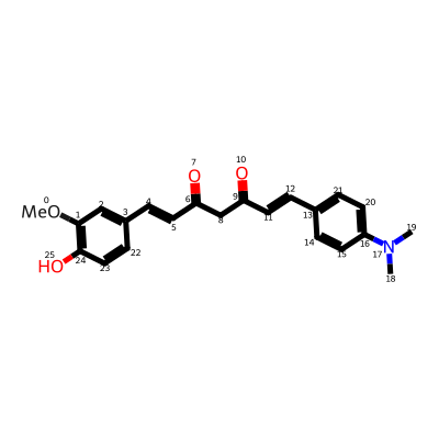 COc1cc(C=CC(=O)CC(=O)C=Cc2ccc(N(C)C)cc2)ccc1O